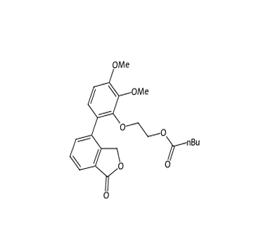 CCCCC(=O)OCCOc1c(-c2cccc3c2COC3=O)ccc(OC)c1OC